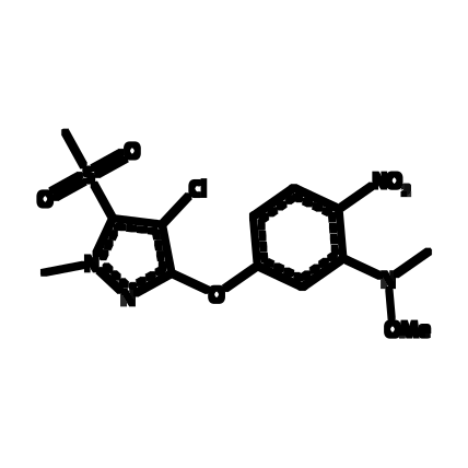 CON(C)c1cc(Oc2nn(C)c(S(C)(=O)=O)c2Cl)ccc1[N+](=O)[O-]